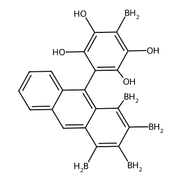 Bc1c(O)c(O)c(-c2c3ccccc3cc3c(B)c(B)c(B)c(B)c23)c(O)c1O